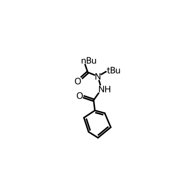 CCCCC(=O)N(NC(=O)c1ccccc1)C(C)(C)C